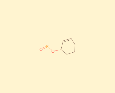 O=POC1C=CCCC1